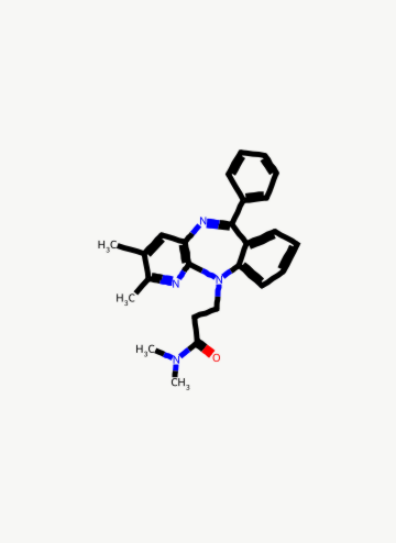 Cc1cc2c(nc1C)N(CCC(=O)N(C)C)c1ccccc1C(c1ccccc1)=N2